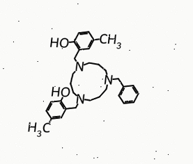 Cc1ccc(O)c(CN2CCCN(Cc3ccccc3)CCCN(Cc3cc(C)ccc3O)CCC2)c1